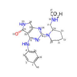 Cc1ccc(Nc2nc(N3CCCCC3CNC(=O)O)nc3c2C(=O)NC3)cc1